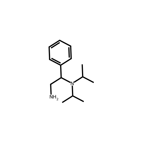 CC(C)N(C(C)C)C(CN)c1ccccc1